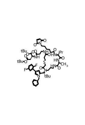 CC(C)[C@H](NC(=O)CCCCCN1C(=O)C=CC1=O)C(=O)N[C@@H](C)C(=O)NCCCN(C(=O)CSCCC(=O)NCCC(=O)N[C@@H](CC(=O)OC(C)(C)C)C(=O)OC(C)(C)C)[C@@H](c1cc(-c2cc(F)ccc2F)cn1Cc1ccccc1)C(C)(C)C